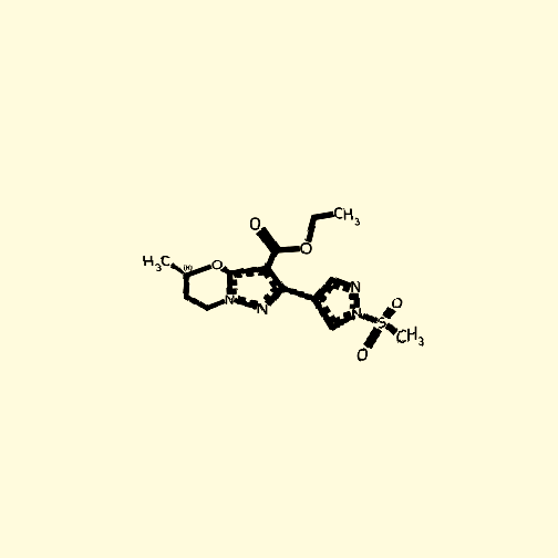 CCOC(=O)c1c(-c2cnn(S(C)(=O)=O)c2)nn2c1O[C@H](C)CC2